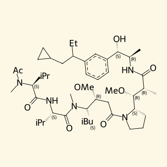 CCC(CC1CC1)c1cccc([C@H](O)[C@@H](C)NC(=O)[C@H](C)[C@@H](OC)[C@@H]2CCCN2C(=O)C[C@@H](OC)C([C@@H](C)CC)N(C)C(=O)[C@@H](NC(=O)[C@H](C(C)C)N(C)C(C)=O)C(C)C)c1